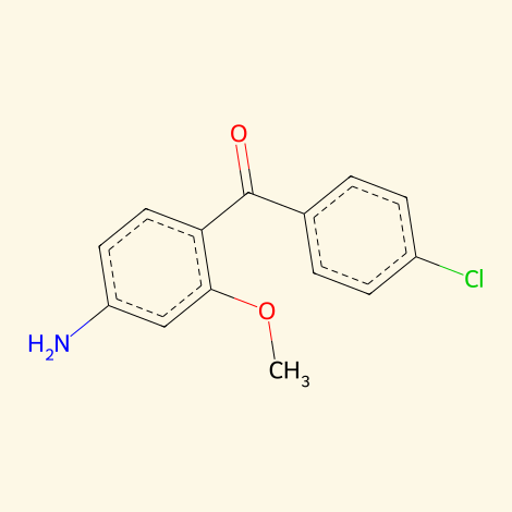 COc1cc(N)ccc1C(=O)c1ccc(Cl)cc1